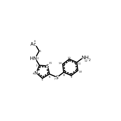 CC(=O)CNc1ncc(Sc2ccc(N)cc2)s1